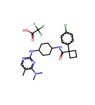 Cc1cnc(NC2CCC(NC(=O)C3(c4ccc(Cl)cc4)CCC3)CC2)nc1N(C)C.O=C(O)C(F)(F)F